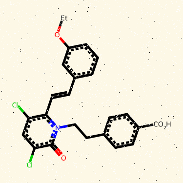 CCOc1cccc(/C=C/c2c(Cl)cc(Cl)c(=O)n2CCc2ccc(C(=O)O)cc2)c1